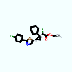 CCOC(=O)C(F)[C@]1(c2ccccc2)C[C@@H]1c1cnc(-c2ccc(F)cc2)s1